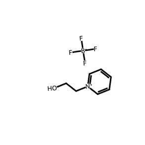 F[B-](F)(F)F.OCC[n+]1ccccc1